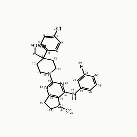 COCC1(c2ccc(Cl)cc2)CCN(c2nc3c(c(Nc4cccc(F)c4)n2)[S+]([O-])CC3)CC1